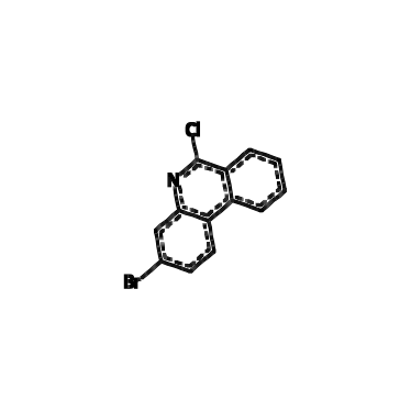 Clc1nc2cc(Br)ccc2c2ccccc12